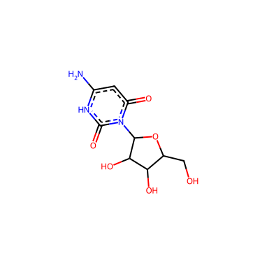 Nc1cc(=O)n(C2OC(CO)C(O)C2O)c(=O)[nH]1